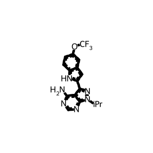 CC(C)n1nc(-c2cc3cc(OC(F)(F)F)ccc3[nH]2)c2c(N)ncnc21